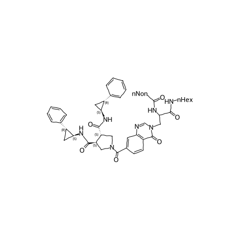 CCCCCCCCCC(=O)NC(Cn1cnc2cc(C(=O)N3C[C@@H](C(=O)N[C@H]4C[C@@H]4c4ccccc4)[C@H](C(=O)N[C@H]4C[C@@H]4c4ccccc4)C3)ccc2c1=O)C(=O)NCCCCCC